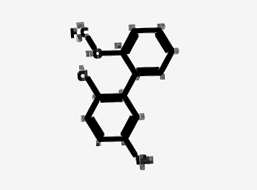 CC(C)(C)c1ccc(Cl)c(-c2ccccc2OC(F)(F)F)c1